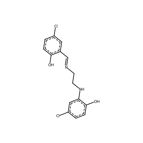 Oc1ccc(Cl)cc1C=NCCNc1cc(Cl)ccc1O